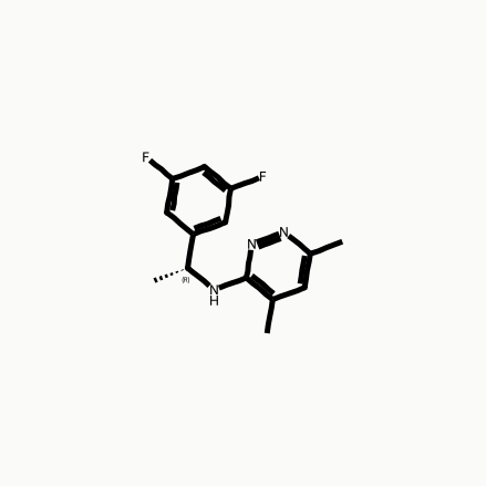 Cc1cc(C)c(N[C@H](C)c2cc(F)cc(F)c2)nn1